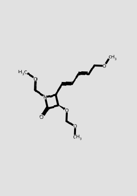 COCC=CC=CC1[C@@H](OCOC)C(=O)N1COC